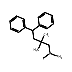 CC(C)(CB(P)I)CC(c1ccccc1)c1ccccc1